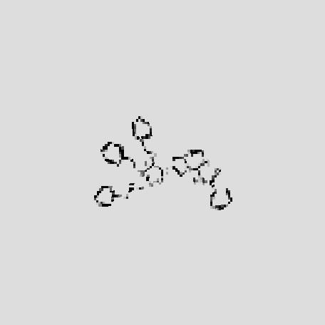 O=C(Nc1ncnc2cc([C@@H]3O[C@H](COCc4ccccc4)[C@@H](OCc4ccccc4)[C@H]3OCc3ccccc3)cn12)c1ccccc1